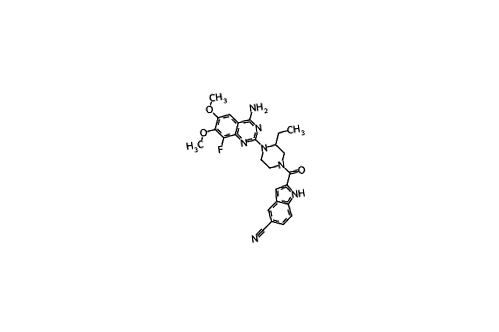 CCC1CN(C(=O)c2cc3cc(C#N)ccc3[nH]2)CCN1c1nc(N)c2cc(OC)c(OC)c(F)c2n1